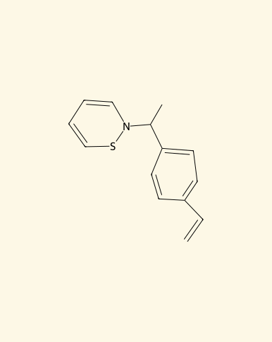 C=Cc1ccc(C(C)N2C=CC=CS2)cc1